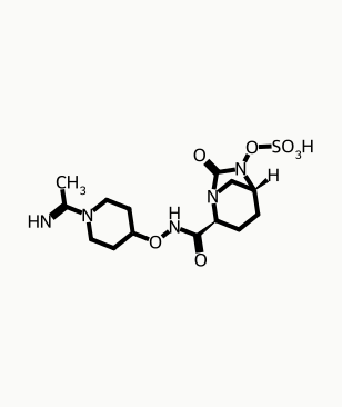 CC(=N)N1CCC(ONC(=O)[C@@H]2CC[C@@H]3CN2C(=O)N3OS(=O)(=O)O)CC1